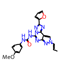 CC=Cn1cc2c(nc(NC(=O)Nc3ccc(OC)cc3)n3nc(-c4ccco4)nc23)n1